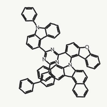 c1ccc(-c2cccc(-c3nc(-c4ccc5oc6ccccc6c5c4-n4c5cc6ccccc6cc5c5c6ccccc6ccc54)nc(-c4cccc5c4c4ccccc4n5-c4ccccc4)n3)c2)cc1